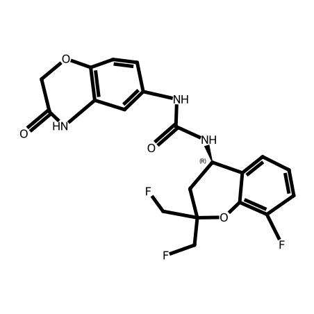 O=C1COc2ccc(NC(=O)N[C@@H]3CC(CF)(CF)Oc4c(F)cccc43)cc2N1